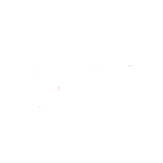 CCCCSCCN1CCC(CC[C@@H](O)c2c(F)cnc3ccc(OC)cc23)C(CC(=O)O)C1